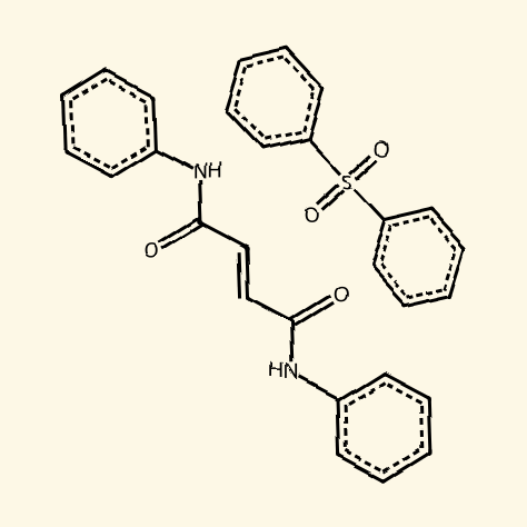 O=C(C=CC(=O)Nc1ccccc1)Nc1ccccc1.O=S(=O)(c1ccccc1)c1ccccc1